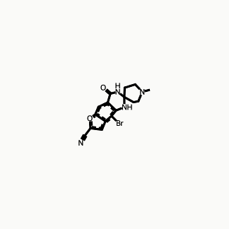 CN1CCC2(CC1)NC(=O)c1cc3oc(C#N)cc3c(Br)c1N2